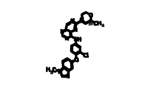 C[C@H]1CN(c2ncc3ncnc(Nc4ccc(Oc5ccc6c(c5)ncn6C)c(Cl)c4)c3n2)CCO1